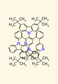 CC(C)(C)c1ccc2c(c1)c1cc(C(C)(C)C)ccc1n2-c1cc(-c2ccccc2-c2cccnc2)c(-n2c3ccc(C(C)(C)C)cc3c3cc(C(C)(C)C)ccc32)c(-c2ccccc2-n2c3ccccc3c3cc(C(C)(C)C)ccc32)n1